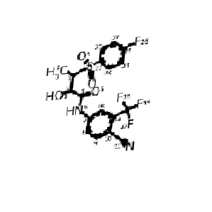 CC(C(O)C(=O)Nc1ccc(C#N)c(C(F)(F)F)c1)S(=O)(=O)c1ccc(F)cc1